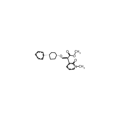 COC(=O)C(=CO[C@H]1CC[C@@H](c2ccccc2)CC1)c1cccn(C)c1=O